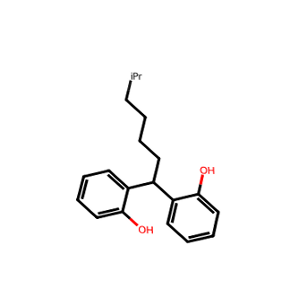 CC(C)CCCCC(c1ccccc1O)c1ccccc1O